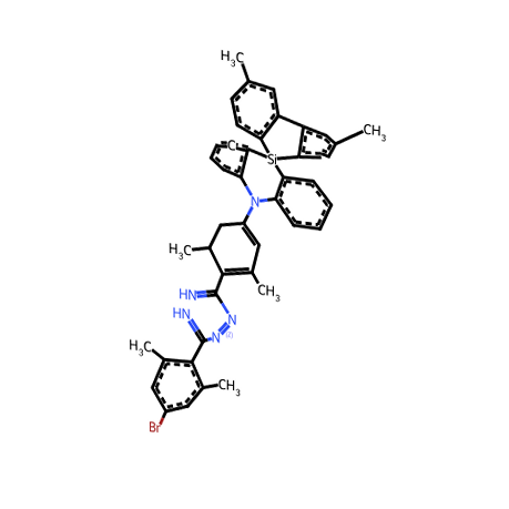 CC1=C(C(=N)/N=N\C(=N)c2c(C)cc(Br)cc2C)C(C)CC(N2c3ccccc3[Si]3(c4ccc(C)cc4-c4cc(C)ccc43)c3ccccc32)=C1